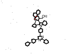 OCc1ccccc1-c1c(-c2ccccc2CCc2ccc3ccccc3c2)n(-c2ccc(-c3cc(-c4ccc(-c5ccccc5)cc4)nc(-c4ccccc4)n3)cc2)c2ccccc12